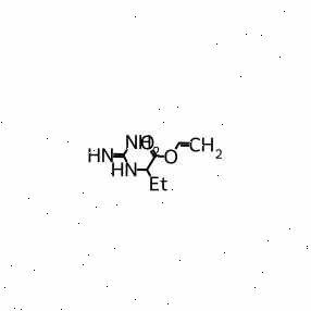 C=COC(=O)C(CC)NC(=N)N